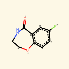 O=C1NCCOc2ccc(F)cc21